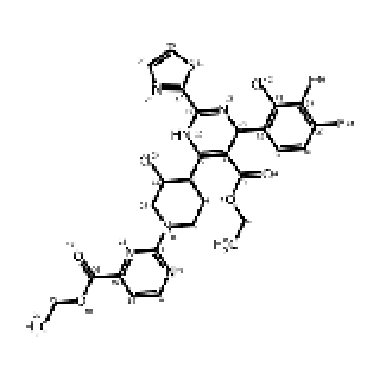 CCOC(=O)C1=C(C2CCN(c3nccc(C(=O)OCC)n3)CC2Cl)NC(c2nccs2)=NC1c1ccc(F)c(F)c1Cl